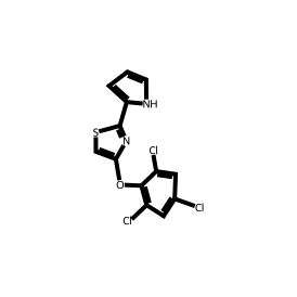 Clc1cc(Cl)c(Oc2csc(-c3ccc[nH]3)n2)c(Cl)c1